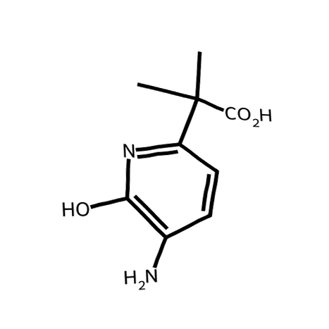 CC(C)(C(=O)O)c1ccc(N)c(O)n1